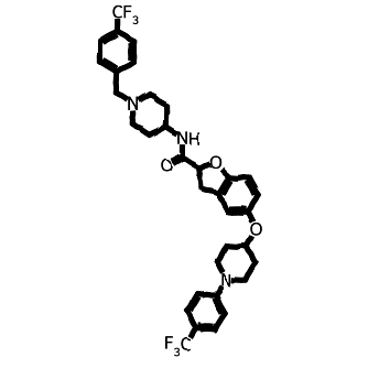 O=C(NC1CCN(Cc2ccc(C(F)(F)F)cc2)CC1)C1Cc2cc(OC3CCN(c4ccc(C(F)(F)F)cc4)CC3)ccc2O1